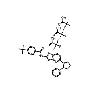 CC(C)(C)c1ccc(C(=O)Nc2cn3nc(N4CCCC4c4ccncc4)ccc3n2)cc1.O=C(O)C(F)(F)F.O=C(O)C(F)(F)F.O=C(O)C(F)(F)F